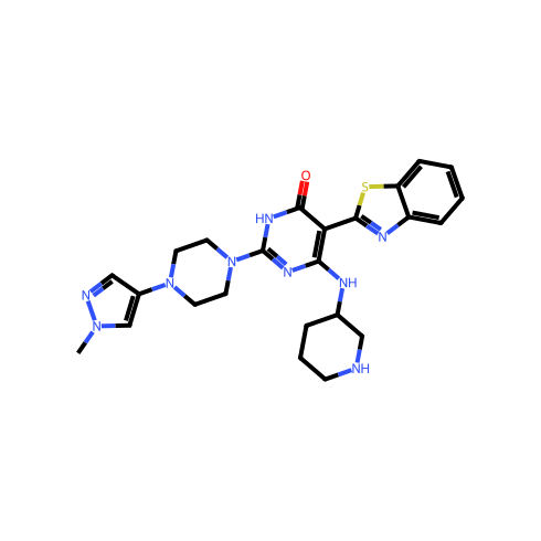 Cn1cc(N2CCN(c3nc(NC4CCCNC4)c(-c4nc5ccccc5s4)c(=O)[nH]3)CC2)cn1